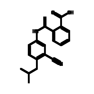 C=C(Nc1ccc(CC(C)C)c(C#N)c1)c1ccccc1C(=O)O